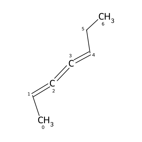 CC=C=C=CCC